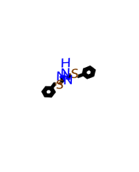 c1ccc(CSc2n[nH]c(SCc3ccccc3)n2)cc1